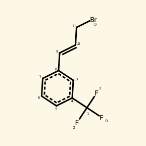 FC(F)(F)c1cccc(/C=C/CBr)c1